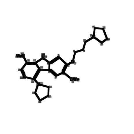 COc1cc2c(cc1OCCCN1CCCC1)[nH]c1c(OC)cnc(N3CCCC3)c12